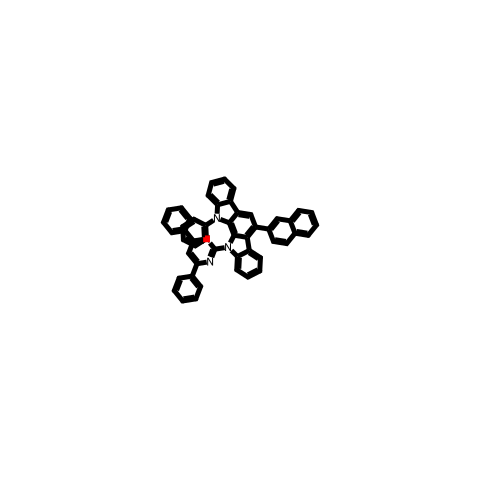 c1ccc(-c2cc(-c3ccccc3)nc(-n3c4ccccc4c4c(-c5ccc6ccccc6c5)cc5c6ccccc6n(-c6ccccc6)c5c43)n2)cc1